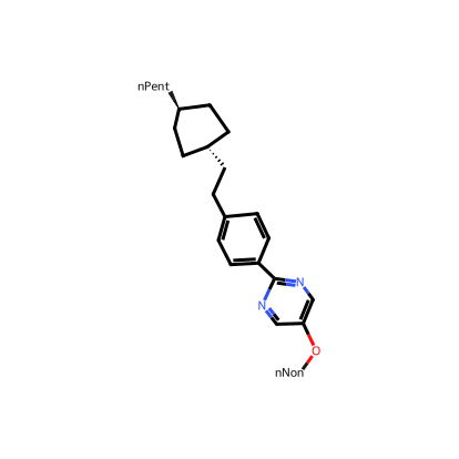 CCCCCCCCCOc1cnc(-c2ccc(CC[C@H]3CC[C@H](CCCCC)CC3)cc2)nc1